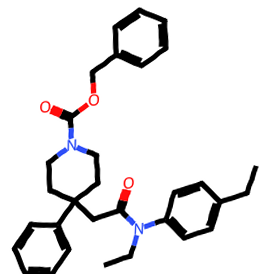 CCc1ccc(N(CC)C(=O)CC2(c3ccccc3)CCN(C(=O)OCc3ccccc3)CC2)cc1